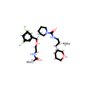 CN[C@@H](CNC(=O)N1CCC[C@@H](C(OCCNC(=O)OC)c2cc(F)cc(F)c2)C1)C[C@H]1CCCOC1